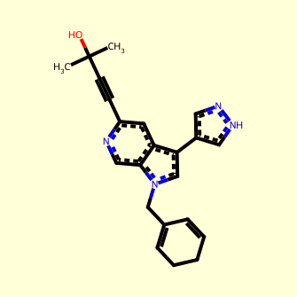 CC(C)(O)C#Cc1cc2c(-c3cn[nH]c3)cn(CC3=CCCC=C3)c2cn1